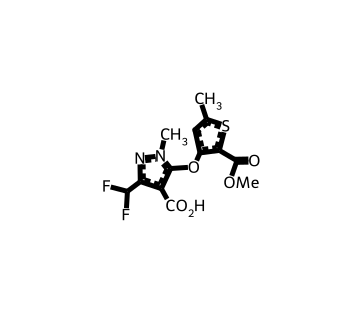 COC(=O)c1sc(C)cc1Oc1c(C(=O)O)c(C(F)F)nn1C